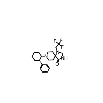 O=C1NCN(CC(F)(F)F)C12CCN([C@@H]1CCCC[C@@H]1c1ccccc1)CC2